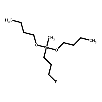 CCCCO[Si](C)(CCCF)OCCCC